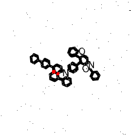 c1ccc(-c2ccc(-c3ccc(N(c4ccc(-c5c6oc(-c7ccccc7)nc6cc6oc7ccccc7c56)cc4)c4ccccc4-c4ccccc4)cc3)cc2)cc1